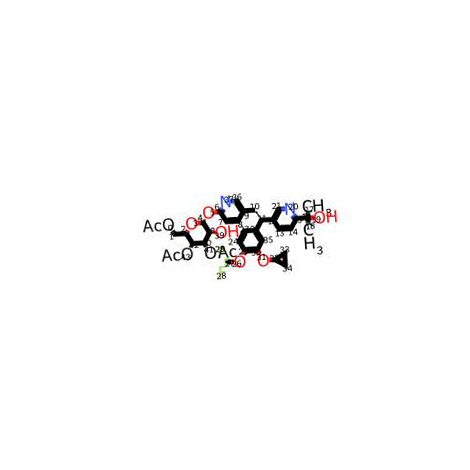 CC(=O)OCC1O[C@@H](Oc2ccc(C[C@H](c3ccc(C(C)(C)O)nc3)c3ccc(OC(F)F)c(OC4CC4)c3)cn2)[C@@H](O)C(OC(C)=O)[C@@H]1OC(C)=O